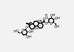 C=C1C[C@@]23CC[C@H]4[C@@](C)(CCC[C@@]4(C)C(=O)O[C@@H]4O[C@H](CO)[C@@H](O)[C@H](O)[C@H]4O)[C@@H]2CC[C@]1(O[C@@H]1O[C@H](CO)C[C@H](O)[C@H]1O)C3